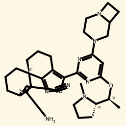 C[C@H](Oc1cc(N2CCN3CCC3C2)nc(-c2onc3c2CCC[C@@]32CCCc3sc(N)c(C#N)c32)n1)[C@@H]1CCCN1C